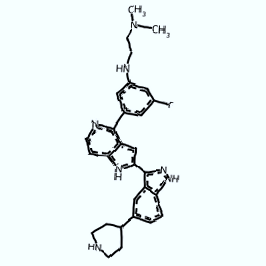 CN(C)CCNc1cc(F)cc(-c2nccc3[nH]c(-c4n[nH]c5ccc(C6CCNCC6)cc45)cc23)c1